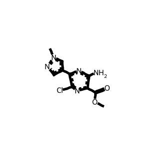 COC(=O)c1nc(Cl)c(-c2cnn(C)c2)nc1N